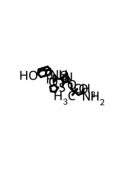 CC(C)(COc1noc(C(=O)N[C@H]2C3CC4CC2C[C@](O)(C4)C3)c1SC1CCCC1)CC(N)=O